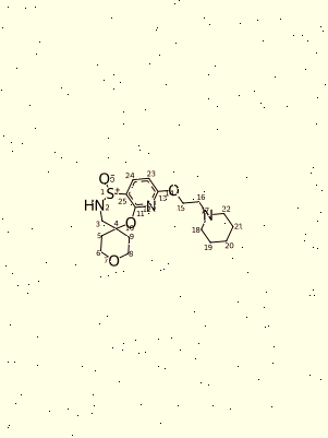 [O-][S+]1NCC2(CCOCC2)Oc2nc(OCCN3CCCCC3)ccc21